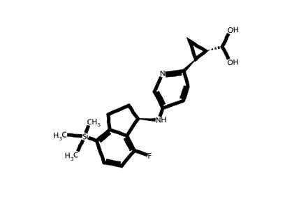 C[Si](C)(C)c1ccc(F)c2c1CC[C@H]2Nc1ccc([C@H]2C[C@@H]2C(O)O)nc1